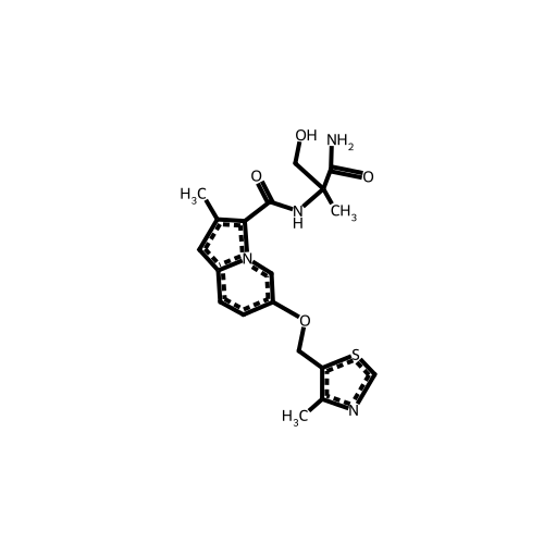 Cc1cc2ccc(OCc3scnc3C)cn2c1C(=O)NC(C)(CO)C(N)=O